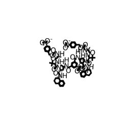 C[C@H](NC(=O)OCc1ccc([N+](=O)[O-])cc1)C(=O)NC(C(=O)N1C[C@@H](NC(=O)c2cc(C(=O)N[C@H]3C[C@@H](C(=O)N[C@@H]4CCCc5ccccc54)N(C(=O)[C@@H](NC(=O)[C@H](C)NC(=O)OCc4ccc([N+](=O)[O-])cc4)C(C)(C)C)C3)cc(S(=O)(=O)O)c2)CC1C(=O)N[C@@H]1CCCc2ccccc21)C(C)(C)C